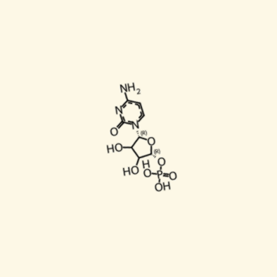 Nc1ccn([C@@H]2O[C@H](OP(=O)(O)O)C(O)C2O)c(=O)n1